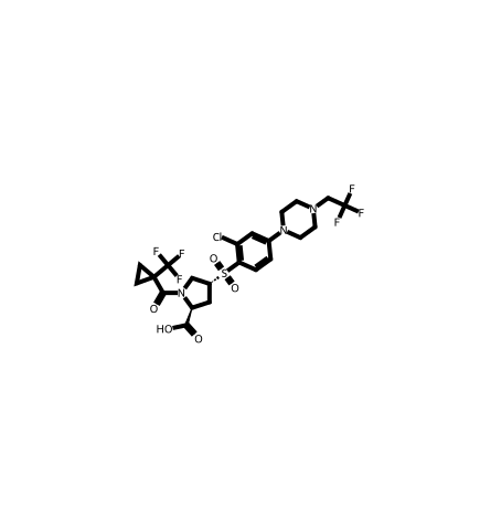 O=C(O)[C@@H]1C[C@@H](S(=O)(=O)c2ccc(N3CCN(CC(F)(F)F)CC3)cc2Cl)CN1C(=O)C1(C(F)(F)F)CC1